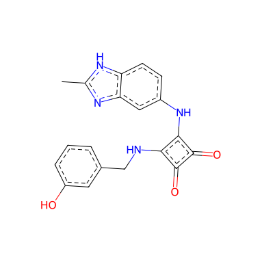 Cc1nc2cc(Nc3c(NCc4cccc(O)c4)c(=O)c3=O)ccc2[nH]1